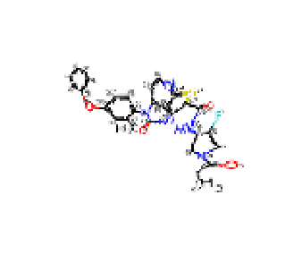 C=CC(=O)N1CC(F)C(NC(=O)c2sc3nccc4c3c2NC(=O)N4c2ccc(Oc3ccccc3)cc2C)C1